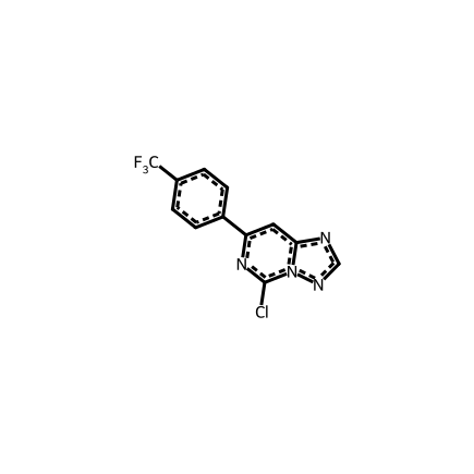 FC(F)(F)c1ccc(-c2cc3ncnn3c(Cl)n2)cc1